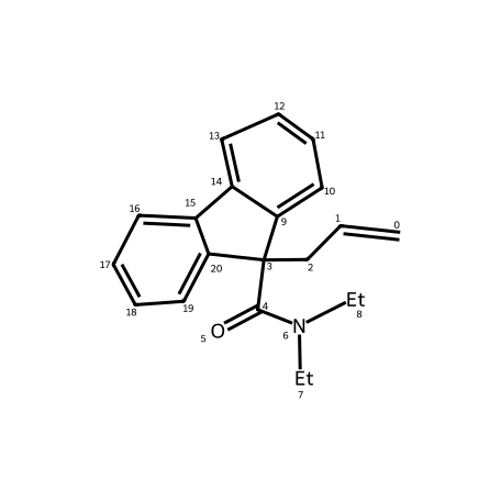 C=CCC1(C(=O)N(CC)CC)c2ccccc2-c2ccccc21